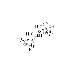 CC(C)=C/C(=C\C(C)BOC(C)(C)C(C)(C)O)C(F)(F)F